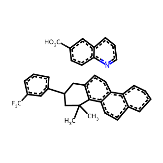 CC1(C)CC(c2cccc(C(F)(F)F)c2)Cc2ccc3c(ccc4ccccc43)c21.O=C(O)c1ccc2ncccc2c1